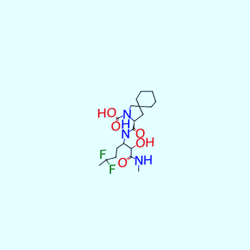 CNC(=O)C(O)C(CCC(C)(F)F)NC(=O)[C@@H]1CC2(CCCCC2)CN1C(=O)O